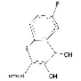 CCCCCCCC1=C(O)C(O)c2cc(F)ccc2S1